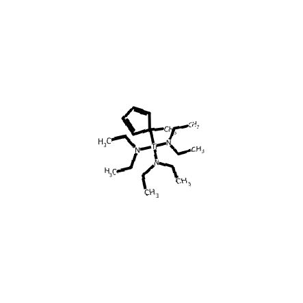 CC[N](CC)[Ti]([N](CC)CC)([N](CC)CC)[C]1(C)C=CC=C1